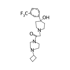 O=C(CN1CCC(O)(c2cccc(C(F)(F)F)c2)CC1)N1CCN(C2CCC2)CC1